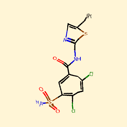 CC(C)c1cnc(NC(=O)c2cc(S(N)(=O)=O)c(Cl)cc2Cl)s1